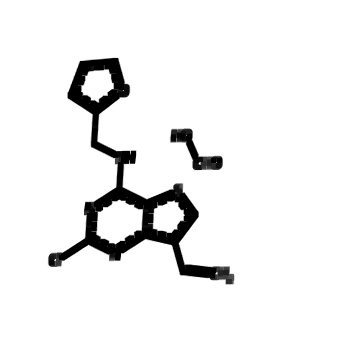 C=Cc1csc2c(NCc3ccco3)nc(Cl)nc12.O=CO